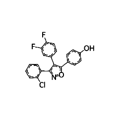 Oc1ccc(-c2onc(-c3ccccc3Cl)c2-c2ccc(F)c(F)c2)cc1